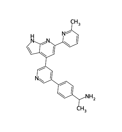 Cc1cccc(-c2cc(-c3cncc(-c4ccc(C(C)N)cc4)c3)c3cc[nH]c3n2)n1